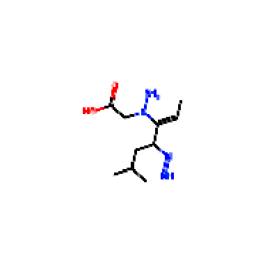 CC=C(C(CC(C)C)N=N)N(N)CC(=O)O